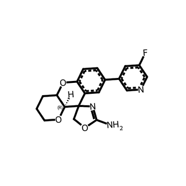 NC1=NC2(CO1)c1cc(-c3cncc(F)c3)ccc1OC1CCCO[C@@H]12